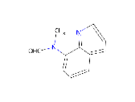 CN(C=O)c1cccc2cccnc12